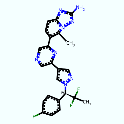 Cc1c(-c2cncc(-c3cnn([C@H](c4ccc(F)cc4)C(C)(F)F)c3)n2)ccc2nc(N)nn12